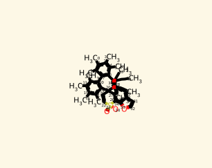 Cc1c(C)c(C)c2c(c1C)-c1c(C)c(C)c(C)c(C)c1C1(C=CS(=O)(=O)c3c1ccc1ccoc31)c1c(C)c(C)c(C)c(C)c1-2